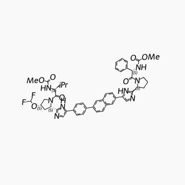 COC(=O)N[C@H](C(=O)N1CCC[C@H]1c1ncc(-c2ccc3cc(-c4ccc(-c5cnc([C@@H]6C[C@H](OC(F)F)CN6C(=O)[C@@H](NC(=O)OC)C(C)C)[nH]5)cc4)ccc3c2)[nH]1)c1ccccc1